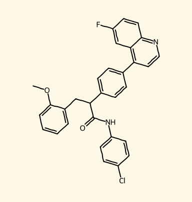 COc1ccccc1CC(C(=O)Nc1ccc(Cl)cc1)c1ccc(-c2ccnc3ccc(F)cc23)cc1